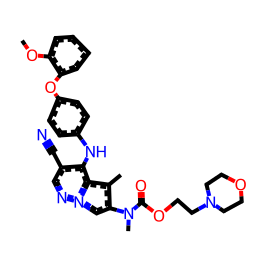 COc1ccccc1Oc1ccc(Nc2c(C#N)cnn3cc(N(C)C(=O)OCCN4CCOCC4)c(C)c23)cc1